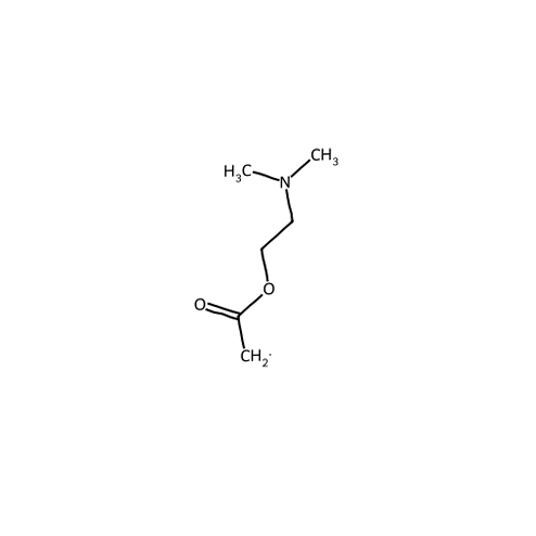 [CH2]C(=O)OCCN(C)C